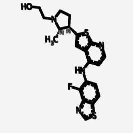 C[C@H]1[C@H](c2cc3c(Nc4ccc5scnc5c4F)ccnc3s2)CCN1CCO